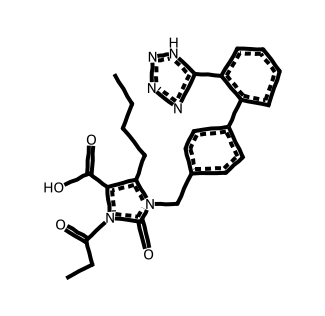 CCCCc1c(C(=O)O)n(C(=O)CC)c(=O)n1Cc1ccc(-c2ccccc2-c2nnn[nH]2)cc1